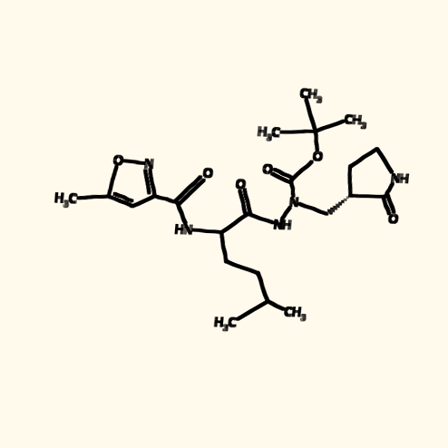 Cc1cc(C(=O)NC(CCC(C)C)C(=O)NN(C[C@@H]2CCNC2=O)C(=O)OC(C)(C)C)no1